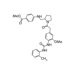 COC(=O)c1ccc(NCC2CCCN2C(=O)Cc2ccc(NC(=O)Nc3ccccc3C)c(OC)c2)cc1